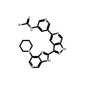 CC(C)C(=O)Nc1cncc(-c2cc3c(-c4nc5c(N6CCCCC6)cncc5[nH]4)n[nH]c3cn2)c1